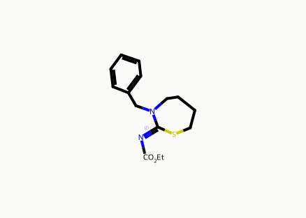 CCOC(=O)/N=C1\SCCCCN1Cc1ccccc1